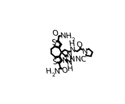 N#C[C@@H]1CCCN1C(=O)CNCCC1(c2nn[nH]n2)c2cc(C(N)=O)sc2CCc2sc(C(N)=O)cc21